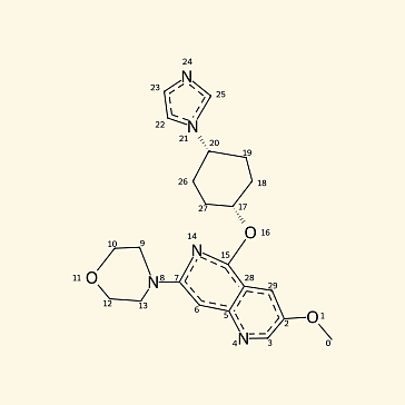 COc1cnc2cc(N3CCOCC3)nc(O[C@H]3CC[C@@H](n4ccnc4)CC3)c2c1